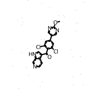 COc1ncc(-c2cc(Cl)c(C(=O)c3c[nH]c4cnccc34)c(Cl)c2)cn1